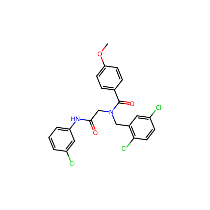 COc1ccc(C(=O)N(CC(=O)Nc2cccc(Cl)c2)Cc2cc(Cl)ccc2Cl)cc1